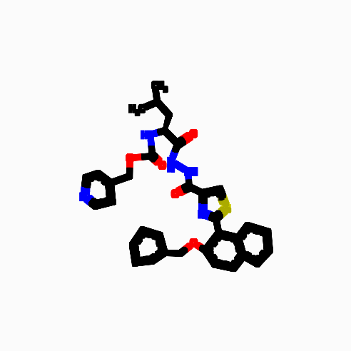 CC(C)C[C@H](NC(=O)OCc1ccncc1)C(=O)NNC(=O)c1csc(-c2c(OCc3ccccc3)ccc3ccccc23)n1